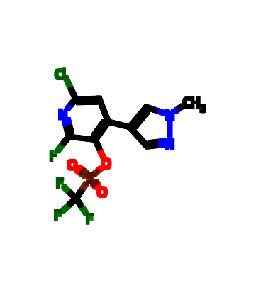 Cn1cc(-c2cc(Cl)nc(F)c2OS(=O)(=O)C(F)(F)F)cn1